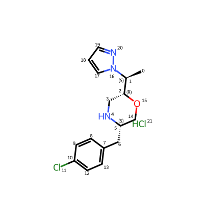 C[C@@H]([C@H]1CN[C@@H](Cc2ccc(Cl)cc2)CO1)n1cccn1.Cl